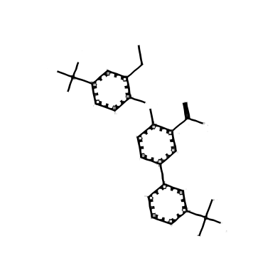 CCc1cc(C(F)(F)F)ccc1Oc1ccc(-c2cccc(C(C)(C)O)c2)cc1C(N)=O